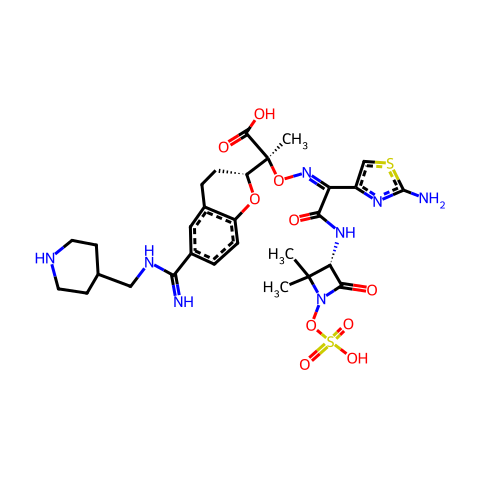 CC1(C)[C@H](NC(=O)/C(=N\O[C@](C)(C(=O)O)[C@H]2CCc3cc(C(=N)NCC4CCNCC4)ccc3O2)c2csc(N)n2)C(=O)N1OS(=O)(=O)O